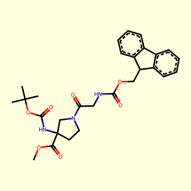 COC(=O)C1(NC(=O)OC(C)(C)C)CCN(C(=O)CNC(=O)OCC2c3ccccc3-c3ccccc32)C1